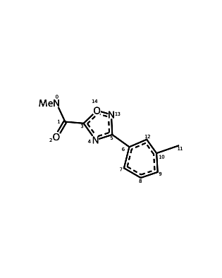 CNC(=O)c1nc(-c2cccc(C)c2)no1